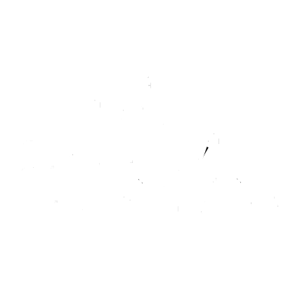 Cc1c([C@@H](C)C(=O)NCO)c2c(F)c(O)c(F)cc2n1C(=O)c1ccc(OC(F)(F)F)cc1